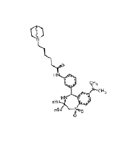 CCCCC1(CCCC)CS(=O)(=O)c2ccc(N(C)C)cc2C(c2cccc(NC(=S)CCCCC[N+]34CCC(CC3)CC4)c2)N1